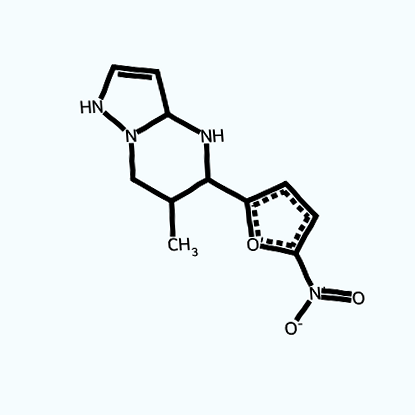 CC1CN2NC=CC2NC1c1ccc([N+](=O)[O-])o1